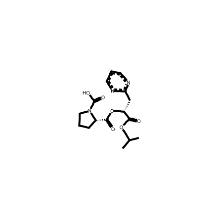 CC(C)OC(=O)[C@@H](Cc1ncccn1)OC(=O)[C@@H]1CCCN1C(=O)O